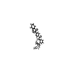 O=C(O)C=C1c2ccccc2N(C(=O)c2ccc(NC(=O)c3ccccc3Cl)cc2)CCC1(F)F